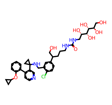 O=C(NCCCC(CO)c1ccc(Cl)c(CNC2(c3cnccc3-c3ccccc3OC3CC3)CC2)c1)NC[C@H](O)[C@@H](O)[C@H](O)[C@H](O)CO